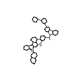 CC(c1ccc2c(c1)Sc1cc3c(c4cccc-2c14)c1ccccc1n3-c1ccc2ccccc2c1)C1c2ccccc2-c2cc(-c3cccc(-c4ccccc4)c3)ccc21